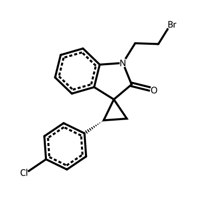 O=C1N(CCBr)c2ccccc2C12C[C@@H]2c1ccc(Cl)cc1